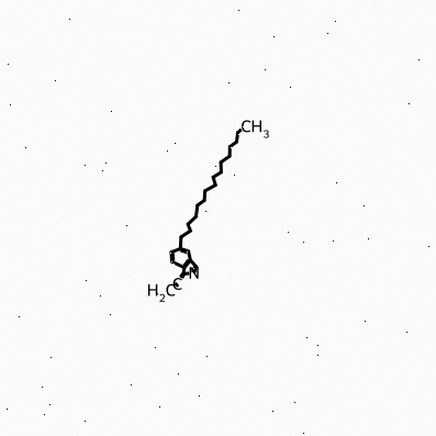 C=C=C1N=Cc2cc(CCCCCCCCCCCCCCCC)ccc21